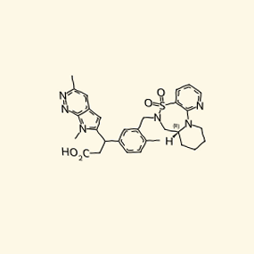 Cc1cc2cc(C(CC(=O)O)c3ccc(C)c(CN4C[C@H]5CCCCN5c5ncccc5S4(=O)=O)c3)n(C)c2nn1